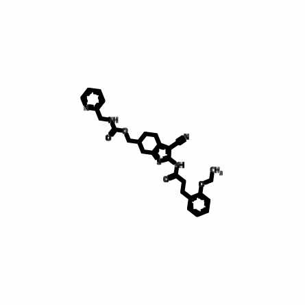 CCOc1ccccc1CCC(=O)Nc1sc2c(c1C#N)CCC(COC(=O)NCc1ccccn1)C2